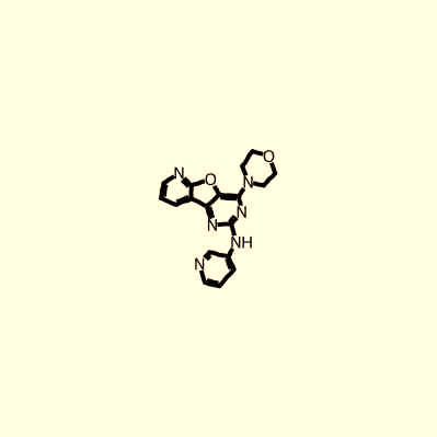 c1cncc(Nc2nc(N3CCOCC3)c3oc4ncccc4c3n2)c1